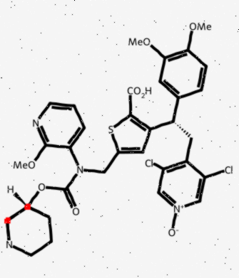 COc1ccc([C@H](Cc2c(Cl)c[n+]([O-])cc2Cl)c2cc(CN(C(=O)O[C@H]3CN4CCC3CC4)c3cccnc3OC)sc2C(=O)O)cc1OC